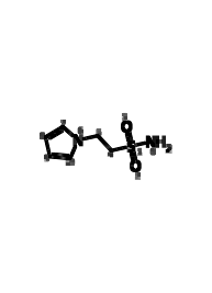 NS(=O)(=O)CCn1cccc1